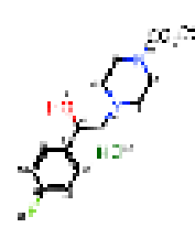 CCOC(=O)N1CCN(CC(O)c2ccc(F)cc2)CC1.Cl